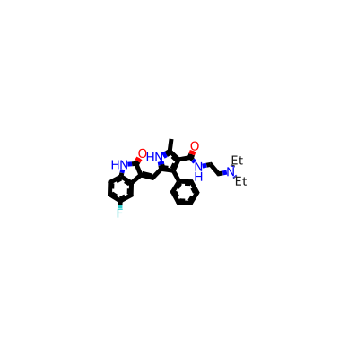 CCN(CC)CCNC(=O)c1c(C)[nH]c(C=C2C(=O)Nc3ccc(F)cc32)c1-c1ccccc1